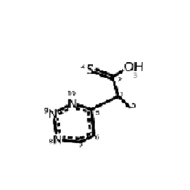 CC(C(O)=S)c1ccnnn1